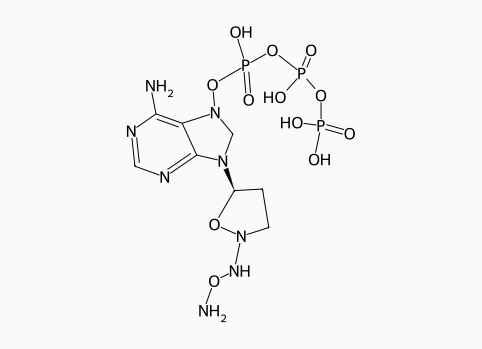 NONN1CC[C@H](N2CN(OP(=O)(O)OP(=O)(O)OP(=O)(O)O)c3c(N)ncnc32)O1